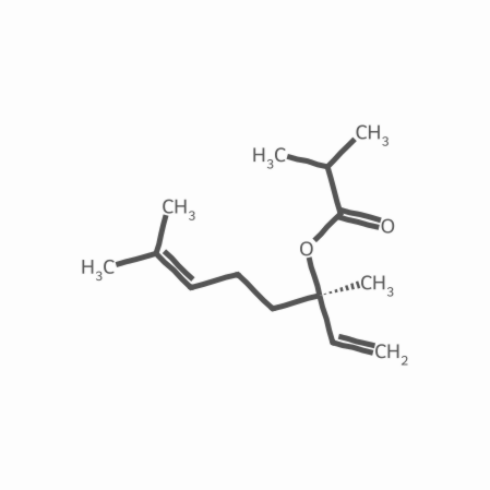 C=C[C@@](C)(CCC=C(C)C)OC(=O)C(C)C